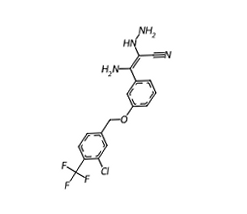 N#C/C(NN)=C(/N)c1cccc(OCc2ccc(C(F)(F)F)c(Cl)c2)c1